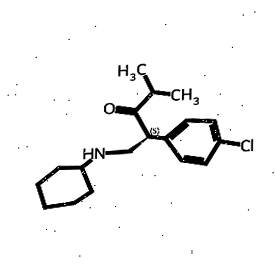 CC(C)C(=O)[C@H](CNC1CCCCC1)c1ccc(Cl)cc1